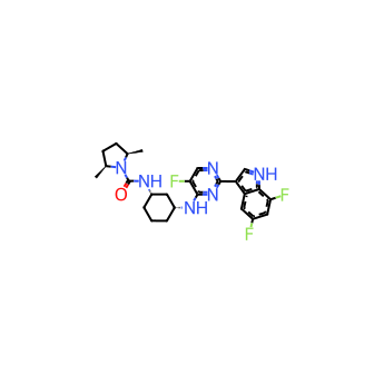 C[C@@H]1CC[C@H](C)N1C(=O)N[C@H]1CCC[C@@H](Nc2nc(-c3c[nH]c4c(F)cc(F)cc34)ncc2F)C1